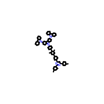 Cc1ccc(-c2cc(-c3ccc(-c4cc(C)c(-c5ccc(-n6c7ccc(-n8c9ccccc9c9ccccc98)cc7c7cc(-n8c9ccccc9c9ccccc98)ccc76)cc5)c(C)c4)cc3)nc(-c3ccc(C)cc3)n2)cc1